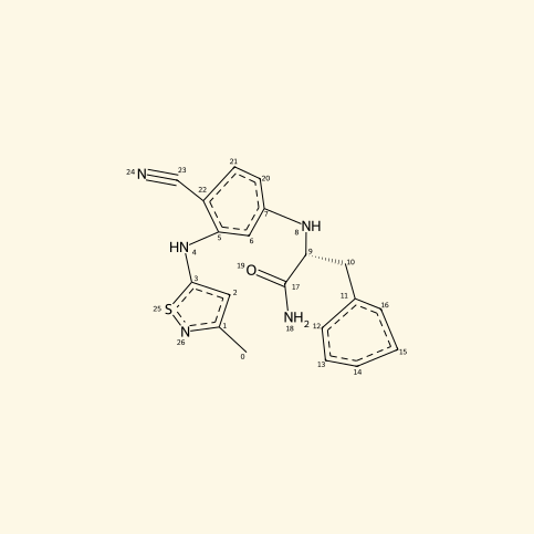 Cc1cc(Nc2cc(N[C@H](Cc3ccccc3)C(N)=O)ccc2C#N)sn1